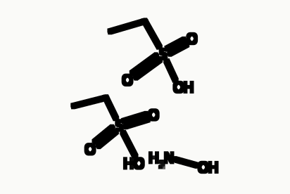 CCS(=O)(=O)O.CCS(=O)(=O)O.NO